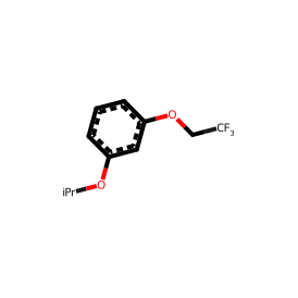 CC(C)Oc1cccc(OCC(F)(F)F)c1